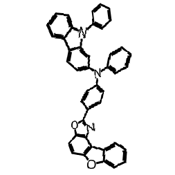 c1ccc(N(c2ccc(-c3nc4c(ccc5oc6ccccc6c54)o3)cc2)c2ccc3c4ccccc4n(-c4ccccc4)c3c2)cc1